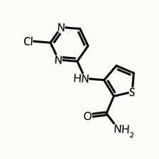 NC(=O)c1sccc1Nc1ccnc(Cl)n1